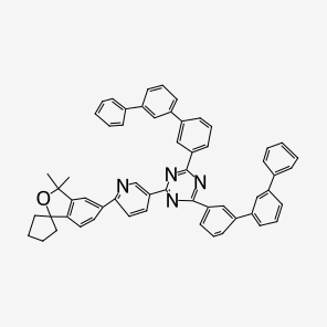 CC1(C)OC2(CCCC2)c2ccc(-c3ccc(-c4nc(-c5cccc(-c6cccc(-c7ccccc7)c6)c5)nc(-c5cccc(-c6cccc(-c7ccccc7)c6)c5)n4)cn3)cc21